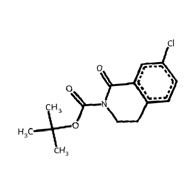 CC(C)(C)OC(=O)N1CCc2ccc(Cl)cc2C1=O